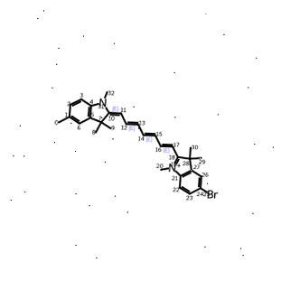 Cc1ccc2c(c1)C(C)(C)\C(=C/C=C/C=C/C=C/C1=[N+](C)c3ccc(Br)cc3C1(C)C)N2C